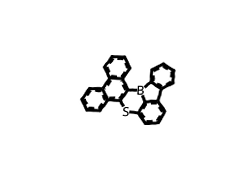 c1ccc2c(c1)B1c3c(cccc3-2)Sc2c1c1ccccc1c1ccccc21